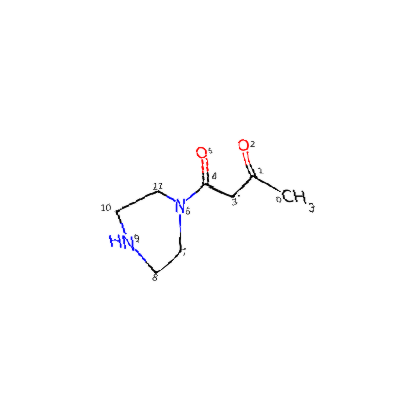 CC(=O)[CH]C(=O)N1CCNCC1